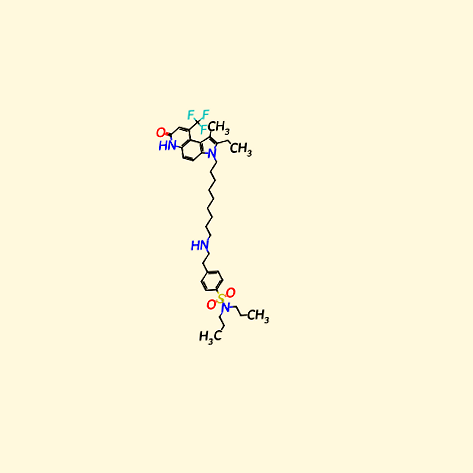 CCCN(CCC)S(=O)(=O)c1ccc(CCNCCCCCCCCCn2c(CC)c(C)c3c4c(C(F)(F)F)cc(=O)[nH]c4ccc32)cc1